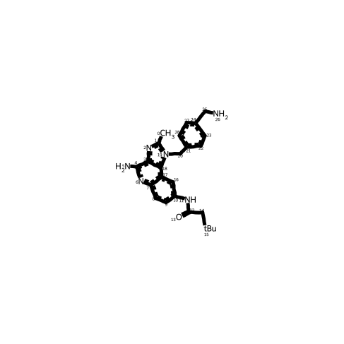 Cc1nc2c(N)nc3ccc(NC(=O)CC(C)(C)C)cc3c2n1Cc1ccc(CN)cc1